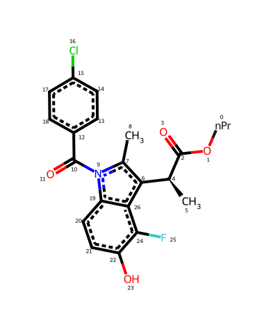 CCCOC(=O)[C@@H](C)c1c(C)n(C(=O)c2ccc(Cl)cc2)c2ccc(O)c(F)c12